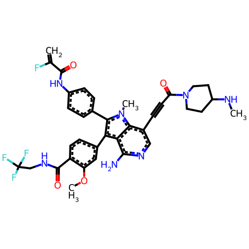 C=C(F)C(=O)Nc1ccc(-c2c(-c3ccc(C(=O)NCC(F)(F)F)c(OC)c3)c3c(N)ncc(C#CC(=O)N4CCC(NC)CC4)c3n2C)cc1